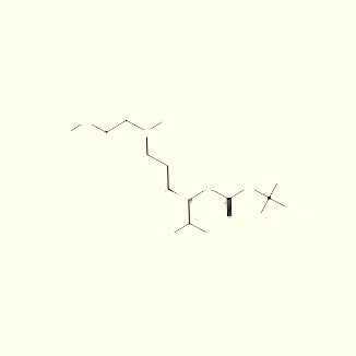 COCCN(C)CCC[C@@H](NC(=O)OC(C)(C)C)C(C)C